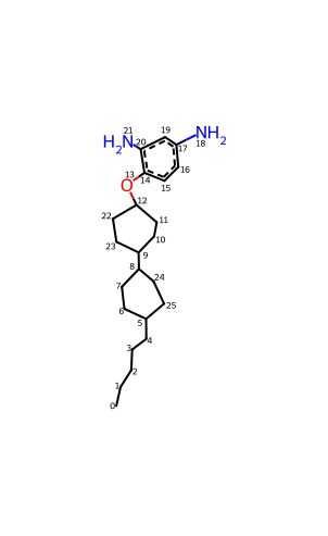 CCCCCC1CCC(C2CCC(Oc3ccc(N)cc3N)CC2)CC1